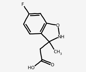 CC1(CC(=O)O)NOc2cc(F)ccc21